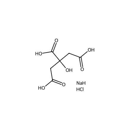 Cl.O=C(O)CC(O)(CC(=O)O)C(=O)O.[NaH]